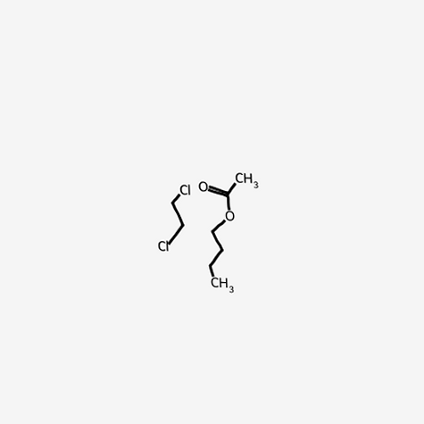 CCCCOC(C)=O.ClCCCl